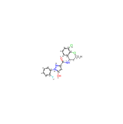 O=C(O)CC(NC(=O)c1cc(O)n(-c2ccccc2F)n1)c1cccc(Cl)c1Cl